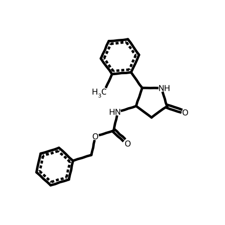 Cc1ccccc1C1NC(=O)CC1NC(=O)OCc1ccccc1